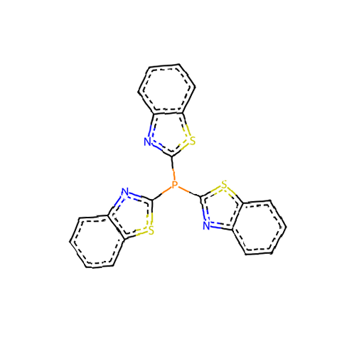 c1ccc2sc(P(c3nc4ccccc4s3)c3nc4ccccc4s3)nc2c1